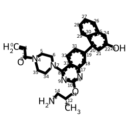 C=CC(=O)N1CCN(c2nc(O[C@H](C)CN)nc3cc(-c4cc(O)cc5ccccc45)ccc23)CC1